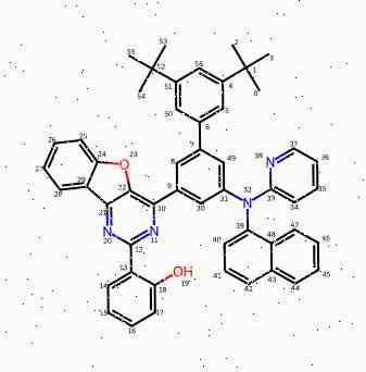 CC(C)(C)c1cc(-c2cc(-c3nc(-c4ccccc4O)nc4c3oc3ccccc34)cc(N(c3ccccn3)c3cccc4ccccc34)c2)cc(C(C)(C)C)c1